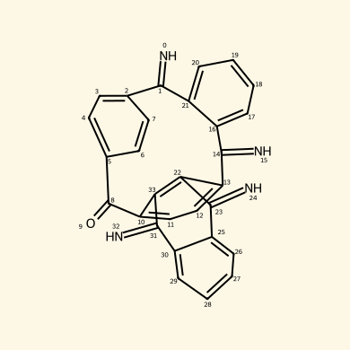 N=c1c2ccc(cc2)c(=O)c2ccc(c(=N)c3ccccc13)c1c(=N)c3ccccc3c(=N)c21